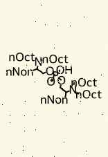 CCCCCCCCCC(COP(=O)(O)OCC(CCCCCCCCC)N(CCCCCCCC)CCCCCCCC)N(CCCCCCCC)CCCCCCCC